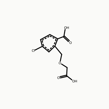 O=C(O)COCc1cc(Cl)ccc1C(=O)O